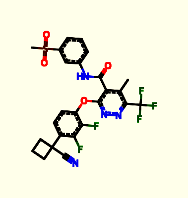 Cc1c(C(F)(F)F)nnc(Oc2ccc(C3(C#N)CCC3)c(F)c2F)c1C(=O)Nc1cccc(S(C)(=O)=O)c1